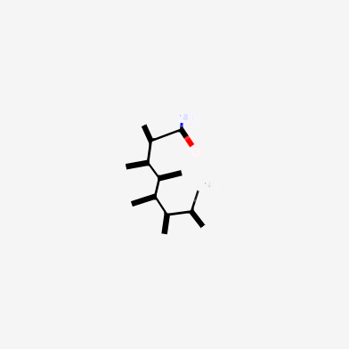 C=C(CCCCCCCCC)C(=C)C(=C)C(=C)C(=C)C(=C)C(N)=O